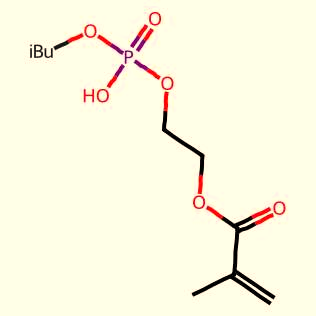 C=C(C)C(=O)OCCOP(=O)(O)OC(C)CC